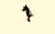 CC(C)Oc1c(F)c(F)cc2nc(Cn3cccc(NC(=O)C(CCC=CC(=O)N(C)C)NC(=O)O)c3=O)[nH]c12